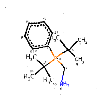 CC(C)(C)[P](CN)(c1ccccc1)C(C)(C)C